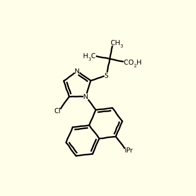 CC(C)c1ccc(-n2c(Cl)cnc2SC(C)(C)C(=O)O)c2ccccc12